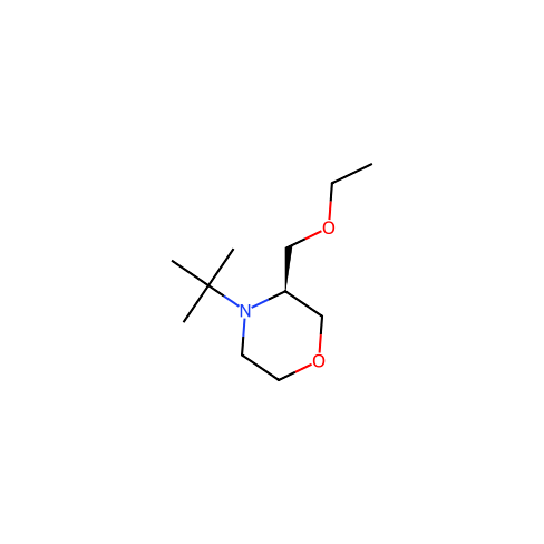 CCOC[C@H]1COCCN1C(C)(C)C